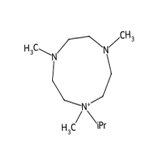 CC(C)[N+]1(C)CCN(C)CCN(C)CC1